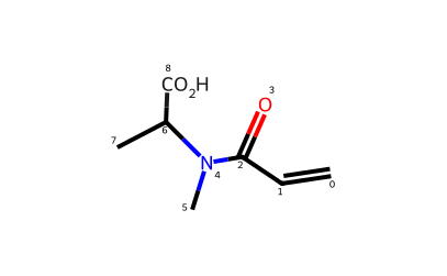 C=CC(=O)N(C)C(C)C(=O)O